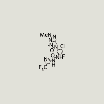 CNc1ncc2c(n1)N(C)C(=O)N(c1cc(NC(=O)Nc3cncc(C(F)(F)F)c3)c(F)cc1Cl)C2